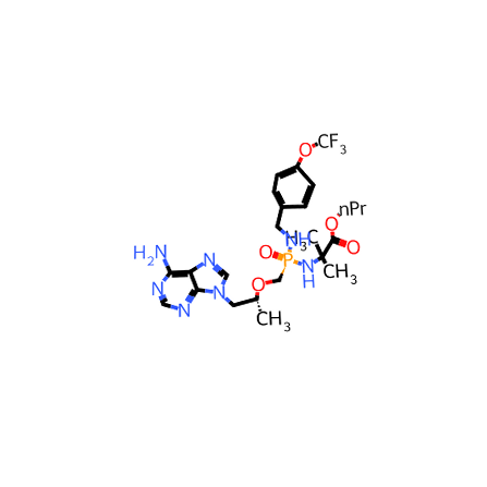 CCCOC(=O)C(C)(C)N[P@@](=O)(CO[C@H](C)Cn1cnc2c(N)ncnc21)NCc1ccc(OC(F)(F)F)cc1